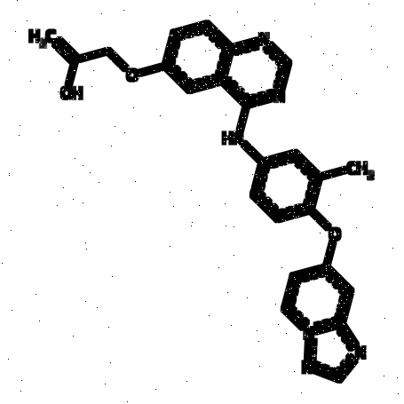 C=C(O)COc1ccc2ncnc(Nc3ccc(Oc4ccn5ncnc5c4)c(C)c3)c2c1